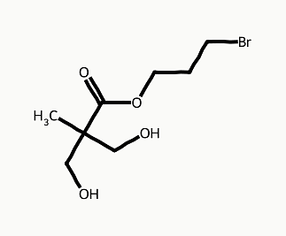 CC(CO)(CO)C(=O)OCCCBr